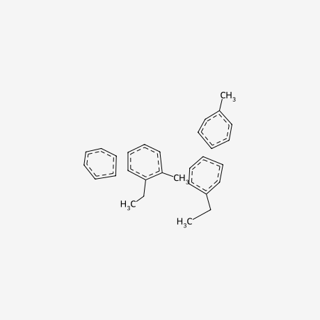 CCc1ccccc1.CCc1ccccc1C.Cc1ccccc1.c1ccccc1